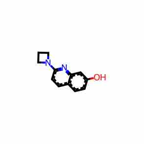 Oc1ccc2ccc(N3CCC3)nc2c1